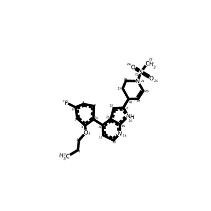 CCCOc1cc(F)ccc1-c1ccnc2[nH]c(C3C=CN(S(C)(=O)=O)CC3)cc12